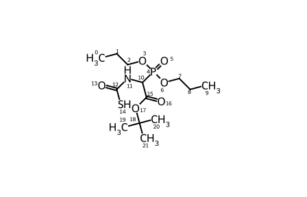 CCCOP(=O)(OCCC)C(NC(=O)S)C(=O)OC(C)(C)C